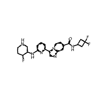 O=C(NC1CC(F)(F)C1)c1ccn2c(-c3cccc(NC4CNCCC4F)n3)cnc2c1